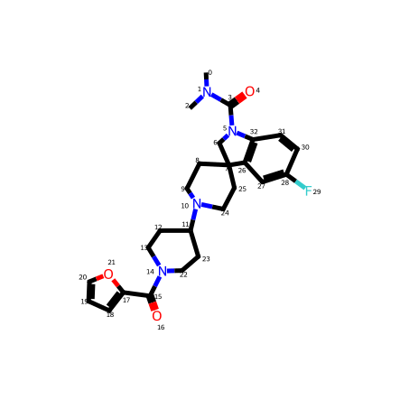 CN(C)C(=O)N1CC2(CCN(C3CCN(C(=O)c4ccco4)CC3)CC2)c2cc(F)ccc21